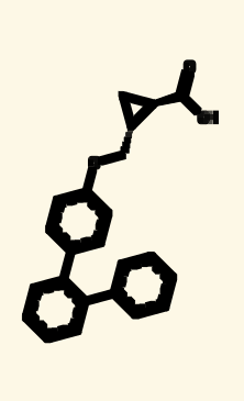 O=C(O)[C@@H]1C[C@H]1COc1ccc(-c2ccccc2-c2ccccc2)cc1